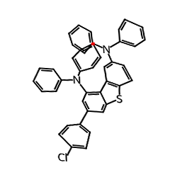 Clc1ccc(-c2cc(N(c3ccccc3)c3ccccc3)c3c(c2)sc2ccc(N(c4ccccc4)c4ccccc4)cc23)cc1